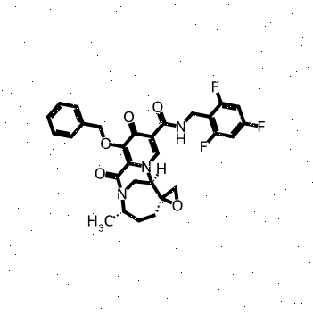 C[C@H]1CC[C@@]2(CO2)[C@H]2CN1C(=O)c1c(OCc3ccccc3)c(=O)c(C(=O)NCc3c(F)cc(F)cc3F)cn12